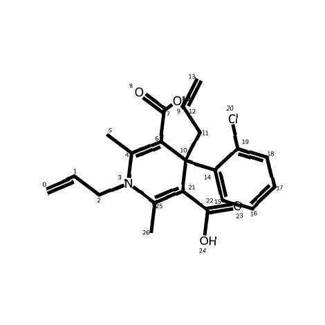 C=CCN1C(C)=C(C(=O)O)C(CC=C)(c2ccccc2Cl)C(C(=O)O)=C1C